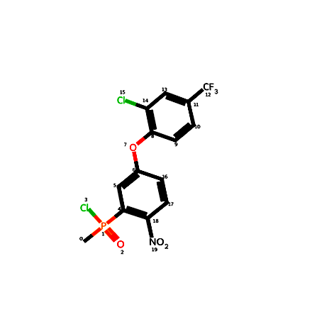 CP(=O)(Cl)c1cc(Oc2ccc(C(F)(F)F)cc2Cl)ccc1[N+](=O)[O-]